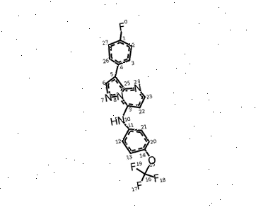 Fc1ccc(-c2cnn3c(Nc4ccc(OC(F)(F)F)cc4)ccnc23)cc1